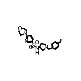 O=S(=O)(NC1CCN(Cc2ccc(F)cc2)C1)c1ccc(N2CCOCC2)nc1